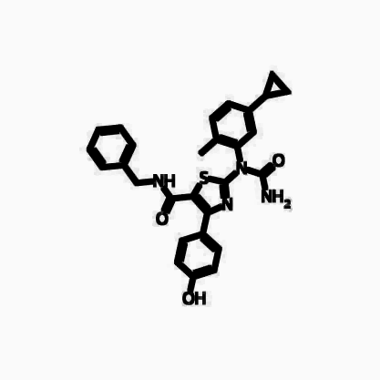 Cc1ccc(C2CC2)cc1N(C(N)=O)c1nc(-c2ccc(O)cc2)c(C(=O)NCc2ccccc2)s1